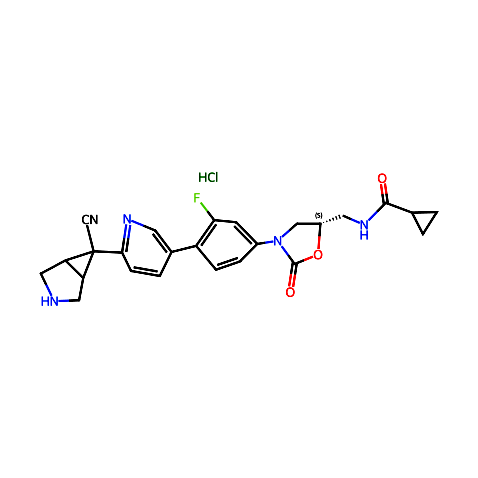 Cl.N#CC1(c2ccc(-c3ccc(N4C[C@H](CNC(=O)C5CC5)OC4=O)cc3F)cn2)C2CNCC21